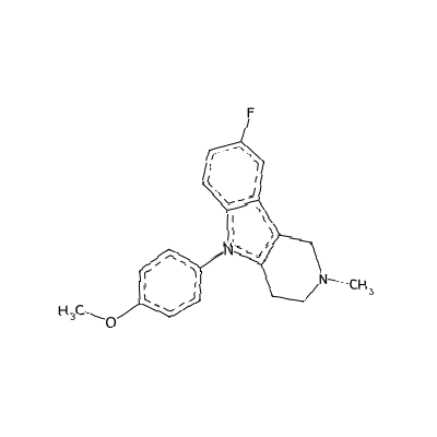 COc1ccc(-n2c3c(c4cc(F)ccc42)CN(C)CC3)cc1